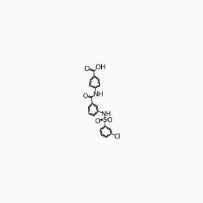 O=C(O)c1ccc(NC(=O)c2cccc(NS(=O)(=O)c3cccc(Cl)c3)c2)cc1